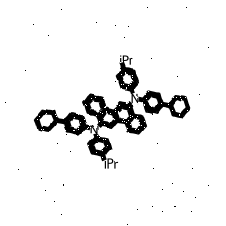 CC(C)c1ccc(N(c2ccc(C3CCCCC3)cc2)c2cc3c4ccccc4c(N(c4ccc(C(C)C)cc4)c4ccc(C5CCCCC5)cc4)cc3c3ccccc23)cc1